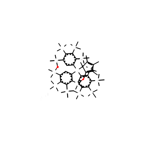 CC1=C(C)[C]([Ti+3])([Si](c2cc([Si](C)(C)C)c([Si](C)(C)C)c([Si](C)(C)C)c2[Si](C)(C)C)(c2cc([Si](C)(C)C)c([Si](C)(C)C)c([Si](C)(C)C)c2[Si](C)(C)C)c2cc([Si](C)(C)C)c([Si](C)(C)C)c([Si](C)(C)C)c2[Si](C)(C)C)C(C)=C1C.[Cl-].[Cl-].[Cl-]